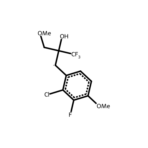 COCC(O)([CH]c1ccc(OC)c(F)c1Cl)C(F)(F)F